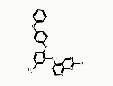 Cc1ccc(Sc2ccc(Oc3ccccc3)cc2)c(Nc2ncnc3nc(C(C)C)ncc23)c1